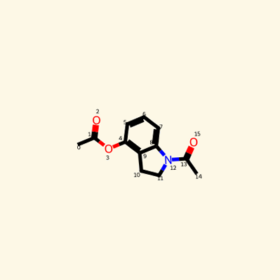 CC(=O)Oc1cccc2c1CCN2C(C)=O